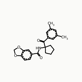 Cc1cc(C)cc(C(=O)C2(NC(=O)c3ccc4c(c3)OCO4)CCCC2)c1